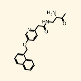 CC(=O)[C@@H](N)CNC(=O)Cc1ccc(OCc2cccc3ccccc23)cn1